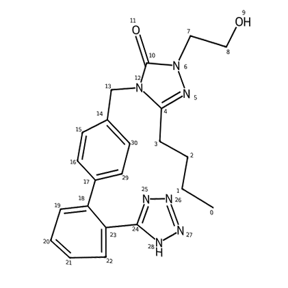 CCCCc1nn(CCO)c(=O)n1Cc1ccc(-c2ccccc2-c2nnn[nH]2)cc1